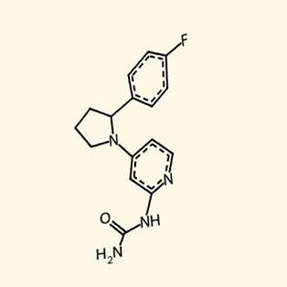 NC(=O)Nc1cc(N2CCCC2c2ccc(F)cc2)ccn1